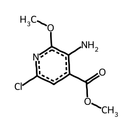 COC(=O)c1cc(Cl)nc(OC)c1N